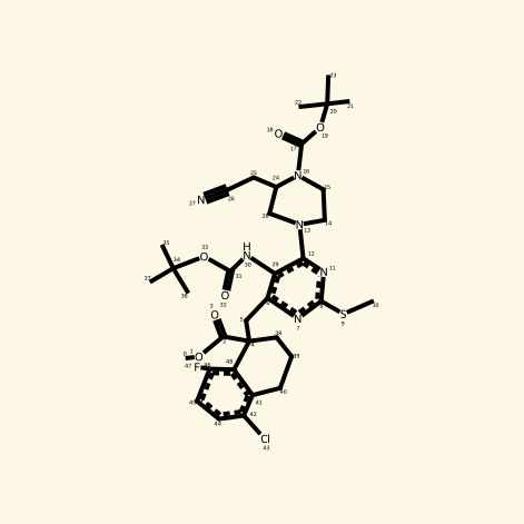 COC(=O)C1(Cc2nc(SC)nc(N3CCN(C(=O)OC(C)(C)C)C(CC#N)C3)c2NC(=O)OC(C)(C)C)CCCc2c(Cl)ccc(F)c21